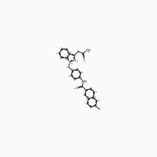 Cc1ccc2cc(C(=O)Nc3ccc(Cn4nc(CC(=O)O)c5ccccc54)cc3)ccc2c1